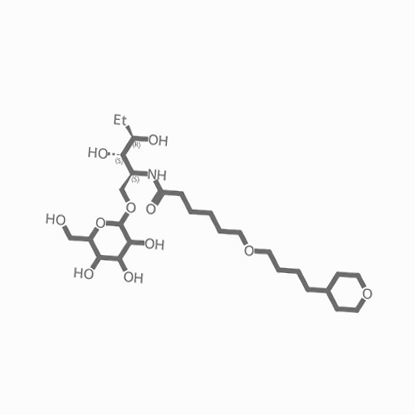 CC[C@@H](O)[C@@H](O)[C@H](COC1OC(CO)C(O)C(O)C1O)NC(=O)CCCCCOCCCCC1CCOCC1